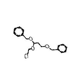 ClCOC(CCOCc1ccccc1)OCc1ccccc1